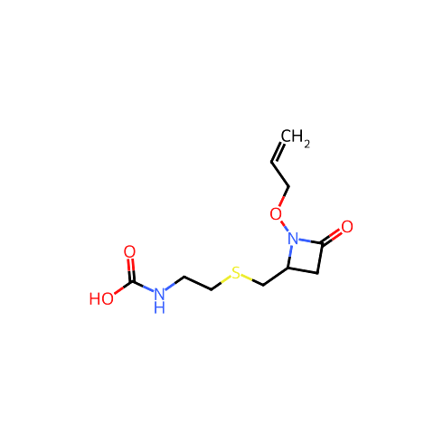 C=CCON1C(=O)CC1CSCCNC(=O)O